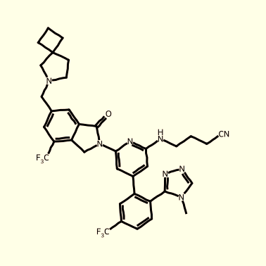 Cn1cnnc1-c1ccc(C(F)(F)F)cc1-c1cc(NCCCC#N)nc(N2Cc3c(cc(CN4CCC5(CCC5)C4)cc3C(F)(F)F)C2=O)c1